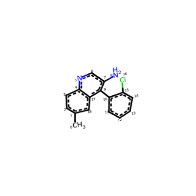 Cc1ccc2ncc(N)c(-c3ccccc3Cl)c2c1